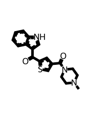 CN1CCN(C(=O)c2csc(C(=O)c3c[nH]c4ccccc34)c2)CC1